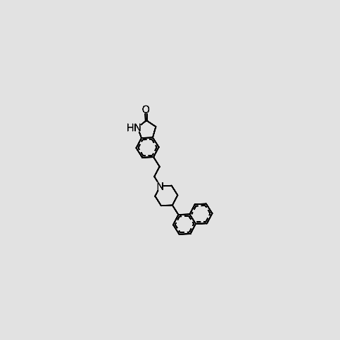 O=C1Cc2cc(CCN3CCC(c4cccc5ccccc45)CC3)ccc2N1